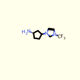 N[C@@H]1CCC(N2C=CN(C(F)(F)F)C2)C1